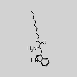 CCCCCCCCOC(=O)C(N)Cc1c[nH]c2ccccc12